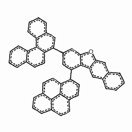 c1ccc2cc3c(cc2c1)oc1cc(-c2cc4ccccc4c4c2ccc2ccccc24)cc(-c2ccc4ccc5cccc6ccc2c4c56)c13